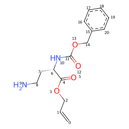 C=CCOC(=O)[C@H](CCN)NC(=O)OCc1ccccc1